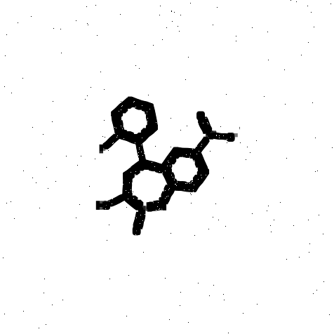 O=[N+]([O-])c1ccc2n[n+](=O)c(O)cc(-c3ccccc3F)c2c1